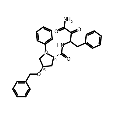 NC(=O)C(=O)C(Cc1ccccc1)NC(=O)[C@@H]1C[C@@H](OCc2ccccc2)CN1c1ccccc1